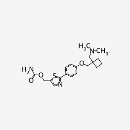 CN(C)CC1(COc2ccc(-c3ncc(COC(N)=O)s3)cc2)CCC1